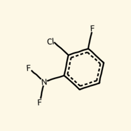 Fc1cccc(N(F)F)c1Cl